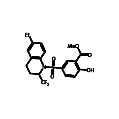 CCc1ccc2c(c1)CCC(C(F)(F)F)N2S(=O)(=O)c1ccc(O)c(C(=O)OC)c1